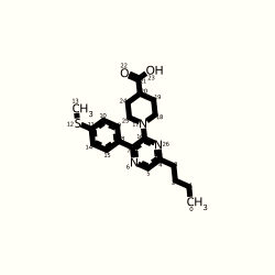 CCCCc1cnc(-c2ccc(SC)cc2)c(N2CCC(C(=O)O)CC2)n1